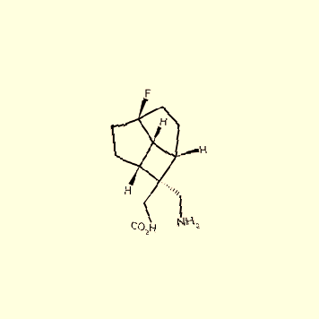 NC[C@]1(CC(=O)O)[C@@H]2CC[C@]3(F)CC[C@H]1[C@H]23